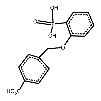 O=C(O)c1ccc(COc2ccccc2P(=O)(O)O)cc1